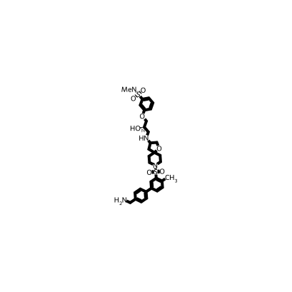 CNS(=O)(=O)c1cccc(OC[C@@H](O)CNC2COC3(CCN(S(=O)(=O)c4cc(-c5ccc(CN)cc5)ccc4C)CC3)C2)c1